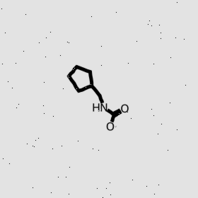 [O]C(=O)NCC1CCCC1